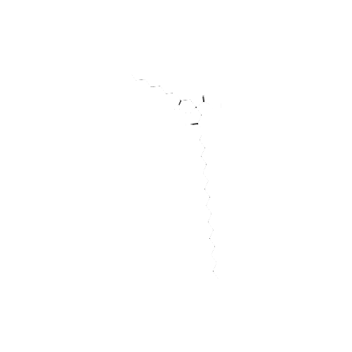 CCCCCCCCCCCCCCCCCCOC(=O)CC(O)(CC(=O)OCCCCCC)C(=O)O